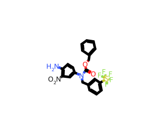 Nc1ccc(N(Cc2cccc(S(F)(F)(F)(F)F)c2)C(=O)OCc2ccccc2)cc1[N+](=O)[O-]